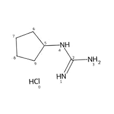 Cl.N=C(N)NC1CCCC1